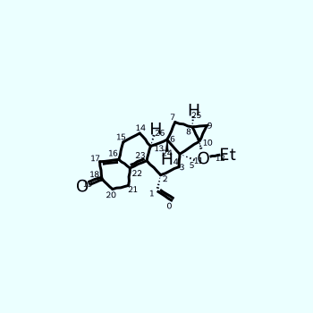 C=C[C@H]1C[C@@]2(C)[C@@H](C[C@H]3C[C@]32OCC)[C@@H]2CCC3=CC(=O)CCC3=C21